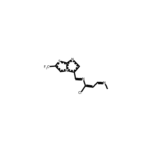 C\N=C/C=C(Cl)\N=C\c1cnc2sc(C(F)(F)F)cn12